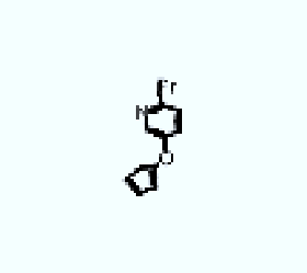 CC(C)c1ccc(OC2=CC=CC2)cn1